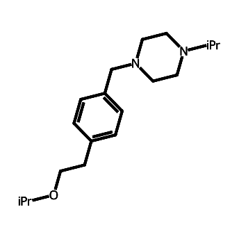 CC(C)OCCc1ccc(CN2CCN(C(C)C)CC2)cc1